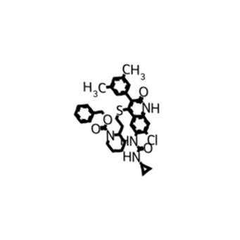 Cc1cc(C)cc(-c2c(SCCC3CCCCN3C(=O)OCc3ccccc3)c3cc(NC(=O)NC4CC4)c(Cl)cc3[nH]c2=O)c1